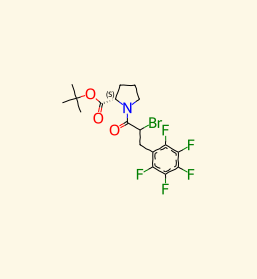 CC(C)(C)OC(=O)[C@@H]1CCCN1C(=O)C(Br)Cc1c(F)c(F)c(F)c(F)c1F